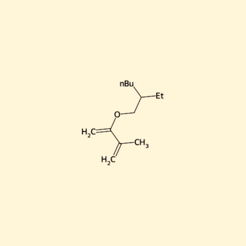 C=C(C)C(=C)OCC(CC)CCCC